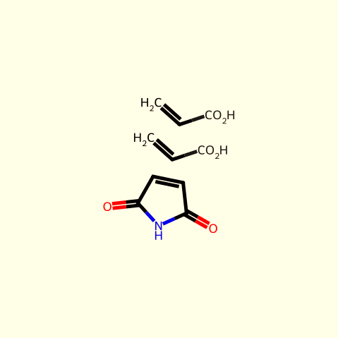 C=CC(=O)O.C=CC(=O)O.O=C1C=CC(=O)N1